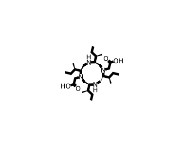 CC[C@@H](C)[C@H]1CN[C@@H]([C@H](C)CC)CN(CC(=O)O)[C@H]([C@H](C)CC)CN[C@@H]([C@H](C)CC)CN1CC(=O)O